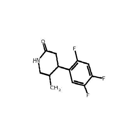 [CH2]C1CNC(=O)CC1c1cc(F)c(F)cc1F